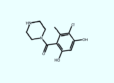 Cc1c(Cl)c(O)cc(O)c1C(=O)N1CCNCC1